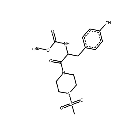 CCCCOC(=O)NC(Cc1ccc(C#N)cc1)C(=O)N1CCN(S(C)(=O)=O)CC1